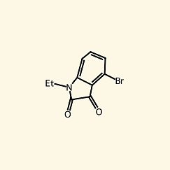 CCN1C(=O)C(=O)c2c(Br)cccc21